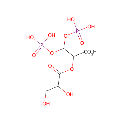 O=C(OC(C(=O)O)C(OP(=O)(O)O)OP(=O)(O)O)C(O)CO